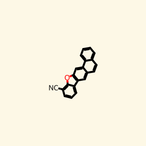 N#Cc1cccc2c1oc1cc3c(ccc4ccccc43)cc12